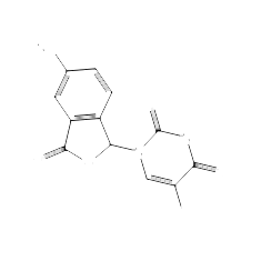 N#Cc1ccc2c(c1)C(=O)OC2n1cc(F)c(=O)[nH]c1=O